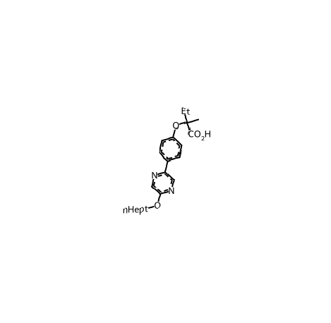 CCCCCCCOc1cnc(-c2ccc(OC(C)(CC)C(=O)O)cc2)cn1